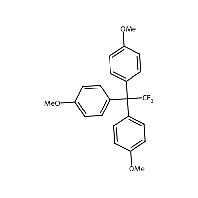 COc1ccc(C(c2ccc(OC)cc2)(c2ccc(OC)cc2)C(F)(F)F)cc1